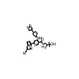 Cn1cc(C2CCC(Nc3cc(-c4ccc5cc(C#N)cnn45)ncc3C(=O)NCC(F)C(C)(C)O)CC2)cn1